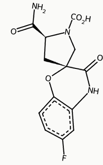 NC(=O)[C@@H]1C[C@]2(CN1C(=O)O)Oc1ccc(F)cc1NC2=O